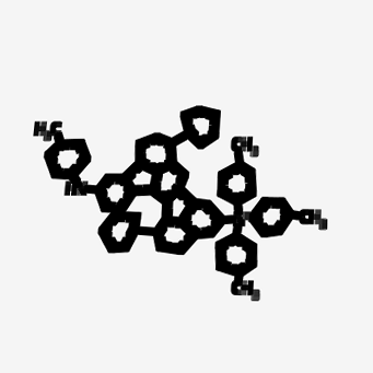 Cc1ccc(Nc2ccc3c(c2)c2ccc(-c4ccccc4)c4cc5c6cc([N+](c7ccc(C)cc7)(c7ccc(C)cc7)c7ccc(C)cc7)cc7ccc(-c8ccccc8)c(c76)c5c3c42)cc1